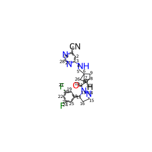 N#Cc1cc(NCC23CC(C2)[C@@H](C(=O)N2N=CCC2c2cc(F)cc(F)c2)C3)ncn1